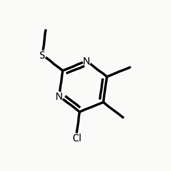 CSc1nc(C)c(C)c(Cl)n1